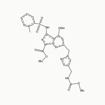 COc1cc(Cn2cc(CNC(=O)OC(C)(C)C)cn2)cc2c1c(NS(=O)(=O)c1ccccc1C)nn2C(=O)OC(C)(C)C